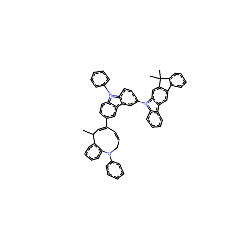 CC1/C=C(c2ccc3c(c2)c2cc(-n4c5ccccc5c5cc6c(cc54)C(C)(C)c4ccccc4-6)ccc2n3-c2ccccc2)\C=C/CN(c2ccccc2)c2ccccc21